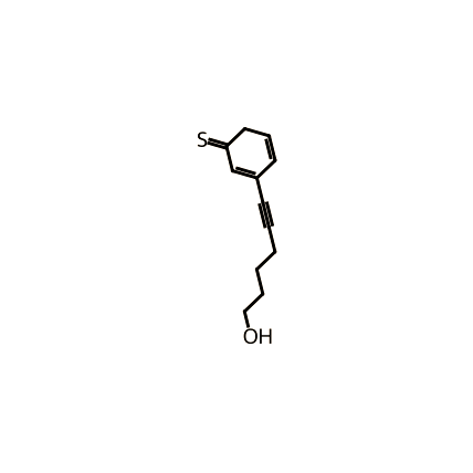 OCCCCC#CC1=CC(=S)CC=C1